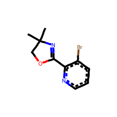 CC1(C)COC(c2ncccc2Br)=N1